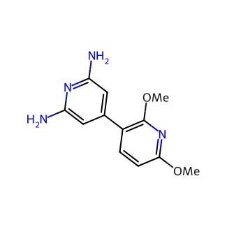 COc1ccc(-c2cc(N)nc(N)c2)c(OC)n1